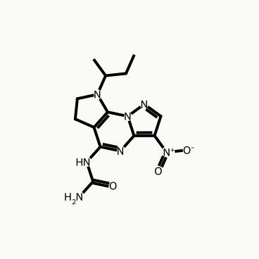 CCC(C)N1CCc2c(NC(N)=O)nc3c([N+](=O)[O-])cnn3c21